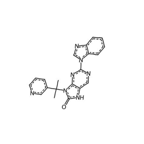 CC(C)(c1cccnc1)n1c(=O)[nH]c2cnc(-n3cnc4ccccc43)nc21